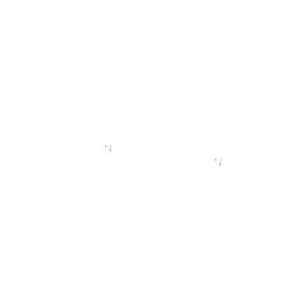 c1ccc(-c2cccc(N(c3ccccc3)c3cc4oc5cc(N(c6ccccc6)c6cccc(-c7ccccc7)c6)c6ccccc6c5c4c4ccccc34)c2)cc1